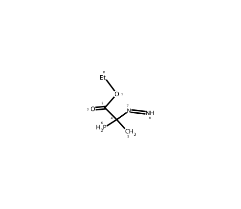 CCOC(=O)C(C)(P)N=N